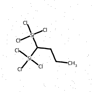 CCCC([Si](Cl)(Cl)Cl)[Si](Cl)(Cl)Cl